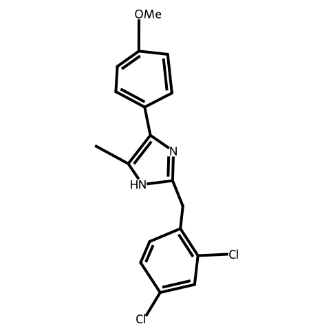 COc1ccc(-c2nc(Cc3ccc(Cl)cc3Cl)[nH]c2C)cc1